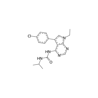 CCn1cc(-c2ccc(Cl)cc2)c2c(NC(=O)NC(C)C)ncnc21